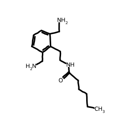 CCCCCC(=O)NCCc1c(CN)cccc1CN